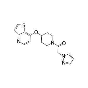 O=C(Cn1cccn1)N1CCC(Oc2ccnc3ccsc23)CC1